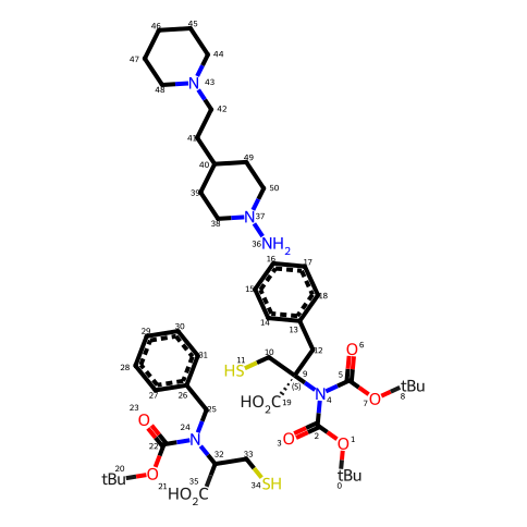 CC(C)(C)OC(=O)N(C(=O)OC(C)(C)C)[C@@](CS)(Cc1ccccc1)C(=O)O.CC(C)(C)OC(=O)N(Cc1ccccc1)C(CS)C(=O)O.NN1CCC(CCN2CCCCC2)CC1